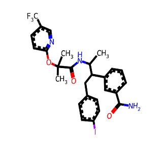 CC(NC(=O)C(C)(C)Oc1ccc(C(F)(F)F)cn1)C(Cc1ccc(I)cc1)c1cccc(C(N)=O)c1